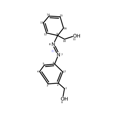 OCc1cccc(/N=N/C2(CO)C=CC=CC2)c1